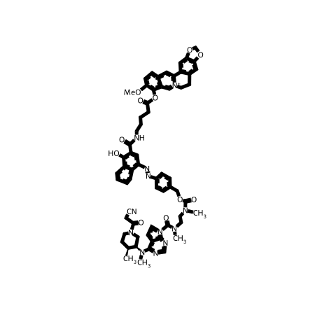 COc1ccc2cc3[n+](cc2c1OC(=O)CCCCNC(=O)c1cc(/N=N/c2ccc(COC(=O)N(C)CCN(C)C(=O)n4ccc5c(N(C)[C@@H]6CN(C(=O)CC#N)CC[C@@H]6C)ncnc54)cc2)c2ccccc2c1O)CCc1cc2c(cc1-3)OCO2